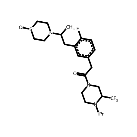 CC(Cc1cc(CC(=O)N2CCN(C(C)C)C(C(F)(F)F)C2)ccc1F)N1CC[S+]([O-])CC1